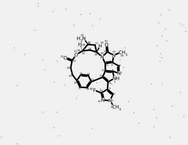 Cn1cc(-c2[nH]c3ncc4c5c3c2-c2ccc(cc2)CCC(=O)O[C@@H]2C[C@H](C[C@@H]2N)n5c(=O)n4C)c(F)n1